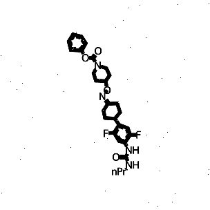 CCCNC(=O)Nc1cc(F)c(C2CCC(=NOC3CCN(C(=O)Oc4ccccc4)CC3)CC2)cc1F